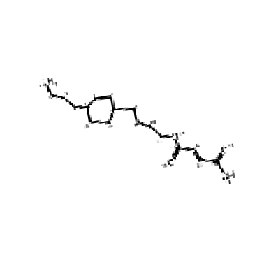 CCCCC1CCC(CCCCOC(=O)/C=C/C(=O)O)CC1